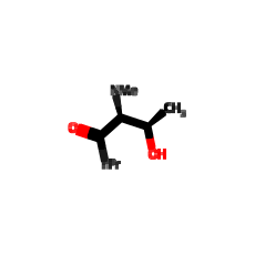 CCCC(=O)[C@@H](NC)[C@@H](C)O